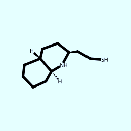 SCC[C@@H]1CC[C@H]2CCCC[C@@H]2N1